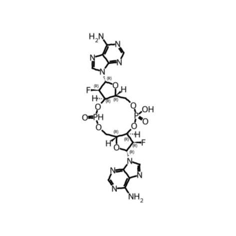 Nc1ncnc2c1ncn2[C@@H]1O[C@@H]2COP(=O)(O)O[C@H]3[C@@H](F)[C@H](n4cnc5c(N)ncnc54)O[C@@H]3CO[PH](=O)O[C@H]2[C@H]1F